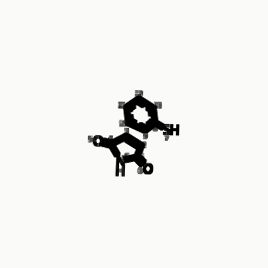 O=C1C=CC(=O)N1.Sc1ccccc1